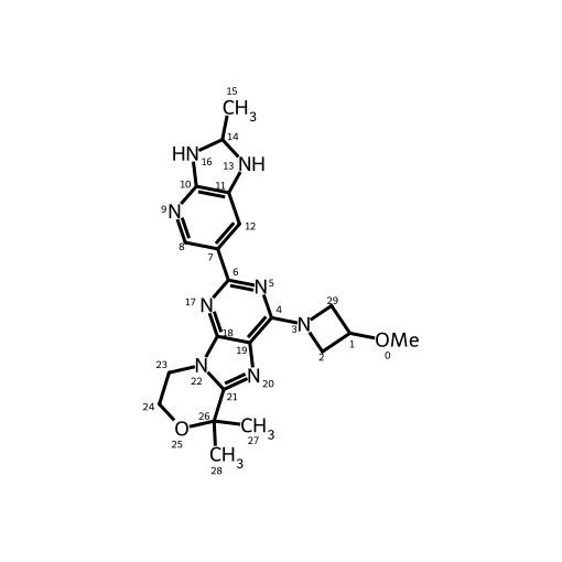 COC1CN(c2nc(-c3cnc4c(c3)NC(C)N4)nc3c2nc2n3CCOC2(C)C)C1